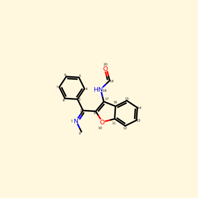 C/N=C(/c1ccccc1)c1oc2ccccc2c1NC=O